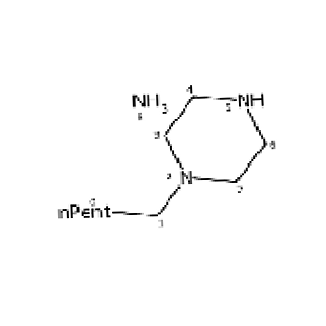 CCCCCCN1CCNCC1.N